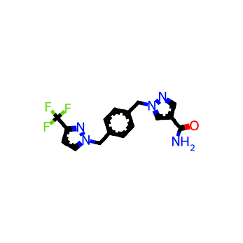 NC(=O)c1cnn(Cc2ccc(Cn3ccc(C(F)(F)F)n3)cc2)c1